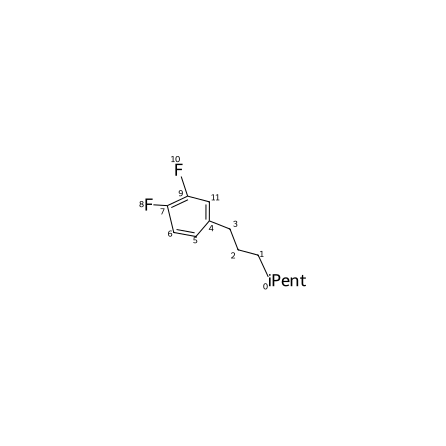 CCCC(C)CCCc1ccc(F)c(F)c1